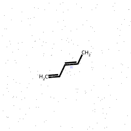 [CH2]/C=C/C=C